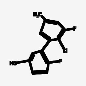 Cc1cc(F)c(Cl)c(-c2cc(O)ccc2F)c1